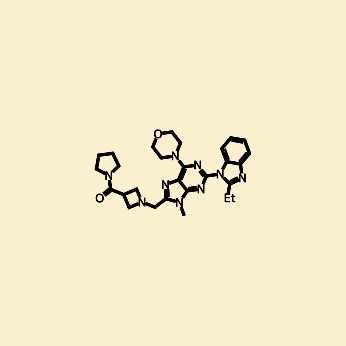 CCc1nc2ccccc2n1-c1nc(N2CCOCC2)c2nc(CN3CC(C(=O)N4CCCC4)C3)n(C)c2n1